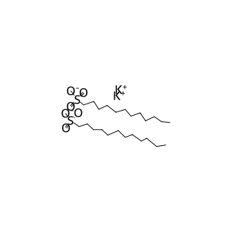 CCCCCCCCCCCCS(=O)(=O)[O-].CCCCCCCCCCCCS(=O)(=O)[O-].[K+].[K+]